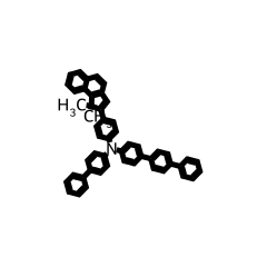 CC1(C)C(c2ccc(N(c3ccc(-c4ccccc4)cc3)c3ccc(-c4ccc(-c5ccccc5)cc4)cc3)cc2)=Cc2ccc3ccccc3c21